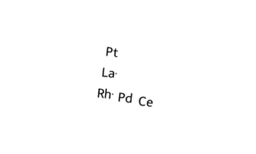 [Ce].[La].[Pd].[Pt].[Rh]